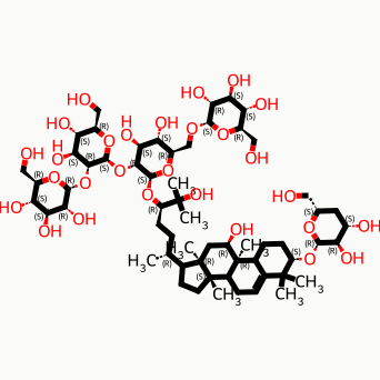 C[C@H](CC[C@@H](O[C@@H]1O[C@H](CO[C@H]2O[C@H](CO)[C@@H](O)[C@H](O)[C@H]2O)[C@@H](O)[C@H](O)[C@H]1O[C@@H]1O[C@H](CO)[C@@H](O)[C@H](O)[C@H]1O[C@H]1O[C@H](CO)[C@@H](O)[C@H](O)[C@H]1O)C(C)(C)O)C1CC[C@@]2(C)C3CC=C4C(CC[C@H](O[C@@H]5O[C@H](CO)C[C@H](O)[C@H]5O)C4(C)C)[C@]3(C)[C@H](O)C[C@]12C